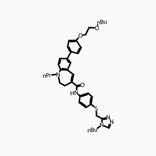 CCCCOCCOc1ccc(-c2ccc3c(c2)C=C(C(=O)Nc2ccc(SCc4nncn4CCCC)cc2)CCN3CCC)cc1